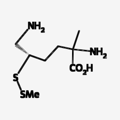 CSS[C@H](CN)CCC(C)(N)C(=O)O